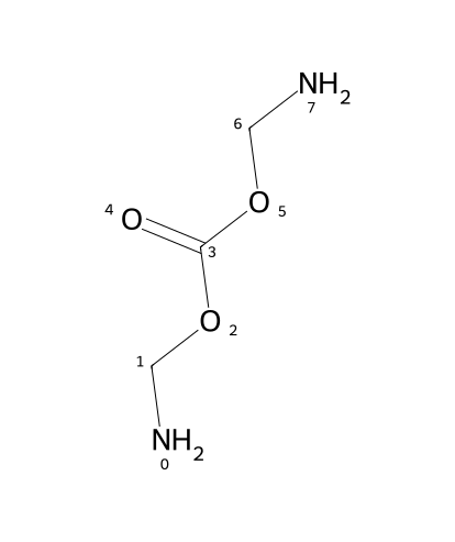 NCOC(=O)OCN